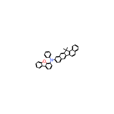 CC1(C)c2cc3cc(N(c4ccccc4)c4cccc5c4oc4ccccc45)ccc3cc2-c2ccc3ccccc3c21